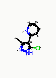 Cc1n[nH]c(Cl)c1-c1ccccn1